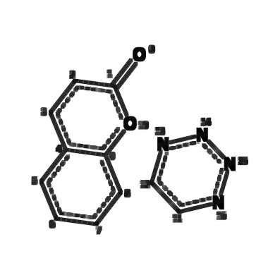 O=c1ccc2ccccc2o1.c1cnnnn1